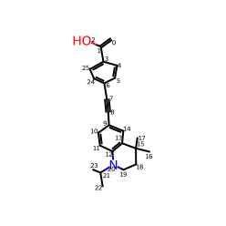 C=C(O)c1ccc(C#Cc2ccc3c(c2)C(C)(C)CCN3C(C)C)cc1